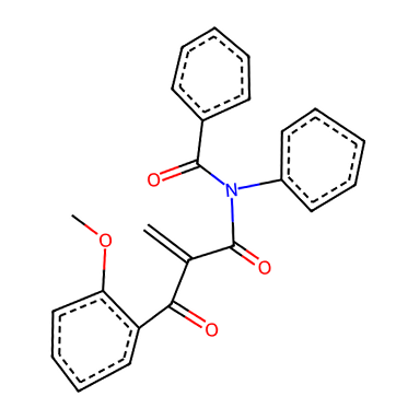 C=C(C(=O)c1ccccc1OC)C(=O)N(C(=O)c1ccccc1)c1ccccc1